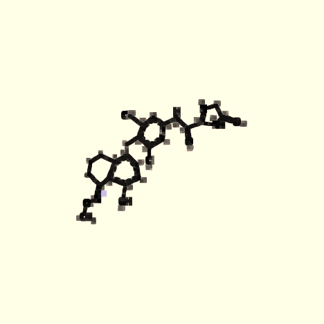 CO/N=C1\CCCc2c(Cc3c(Cl)cc(NC(=O)C4=NCC(=O)N4)cc3Cl)ccc(O)c21